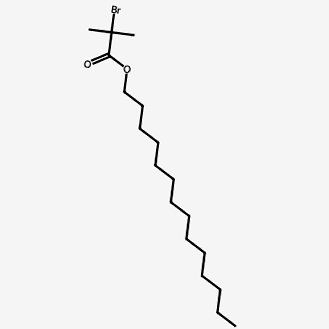 CCCCCCCCCCCCCCOC(=O)C(C)(C)Br